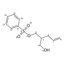 C=CCC(CO)COS(=O)(=O)c1ccccc1